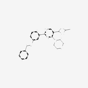 CC1OC(c2cnc(-c3cccc(OCc4ccccc4)c3)nc2N2CCOCC2)O1